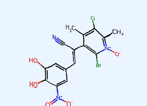 Cc1c(Cl)c(C)[n+]([O-])c(Br)c1/C(C#N)=C/c1cc(O)c(O)c([N+](=O)[O-])c1